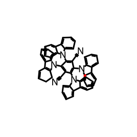 N#Cc1c(-n2c3c(c4ccccc42)C=CCC3)c(-n2c3ccccc3c3ccccc32)c(C#N)c(-n2c3ccccc3c3ccccc32)c1-n1c2ccccc2c2ccccc21